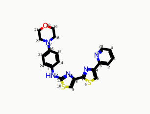 c1ccc(-c2csc(-c3csc(Nc4ccc(N5CCOCC5)cc4)n3)n2)nc1